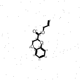 C=CCOC(=O)C1COc2ccccc2O1